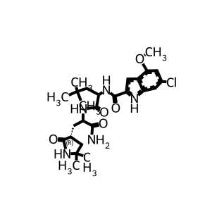 COc1cc(Cl)cc2[nH]c(C(=O)NC(CC(C)(C)C)C(=O)NC(C[C@@H]3CC(C)(C)NC3=O)C(N)=O)cc12